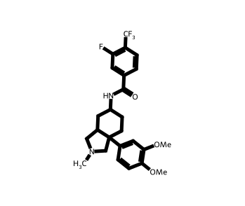 COc1ccc(C23CCC(NC(=O)c4ccc(C(F)(F)F)c(F)c4)CC2CN(C)C3)cc1OC